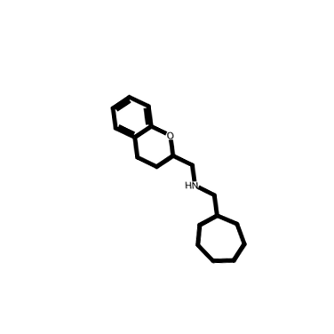 c1ccc2c(c1)CCC(CNCC1CCCCCC1)O2